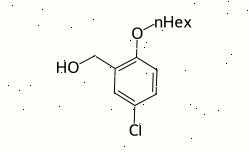 CCCCCCOc1ccc(Cl)cc1CO